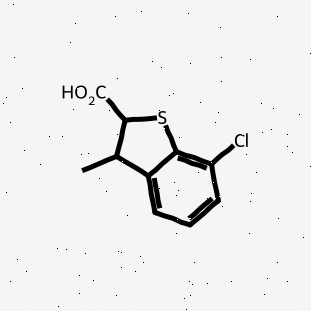 CC1c2cccc(Cl)c2SC1C(=O)O